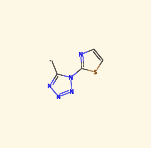 [CH2]c1nnnn1-c1nccs1